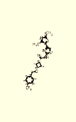 Cc1nc(C)c(-c2csc(NC(=O)[C@H]3C[C@@H](OCc4ccc(C(F)(F)F)cc4)C3)n2)s1